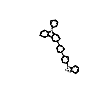 c1ccc(-n2c3ccccc3c3cc(-c4ccc(-c5ccc(-n6nnc7ccccc76)cc5)cc4)ccc32)cc1